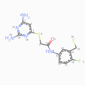 Nc1cc(SCC(=O)Nc2ccc(F)c(CF)c2)nc(N)n1